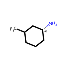 N[C@@H]1CCCC(C(F)(F)F)C1